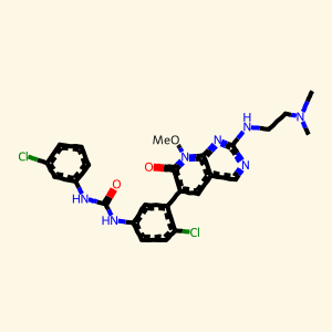 COn1c(=O)c(-c2cc(NC(=O)Nc3cccc(Cl)c3)ccc2Cl)cc2cnc(NCCN(C)C)nc21